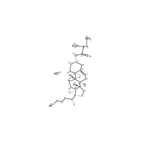 CC(C)CCC[C@@H](C)[C@H]1CC[C@H]2[C@@H]3CC=C4C[C@@H](OC(=O)C(N)CN)CC[C@]4(C)[C@H]3CC[C@]12C.Cl